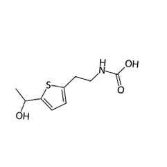 CC(O)c1ccc(CCNC(=O)O)s1